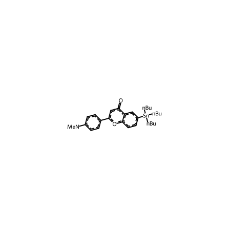 CCC[CH2][Sn]([CH2]CCC)([CH2]CCC)[c]1ccc2oc(-c3ccc(NC)cc3)cc(=O)c2c1